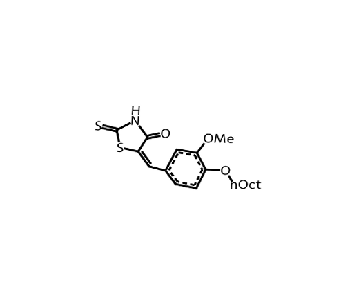 CCCCCCCCOc1ccc(C=C2SC(=S)NC2=O)cc1OC